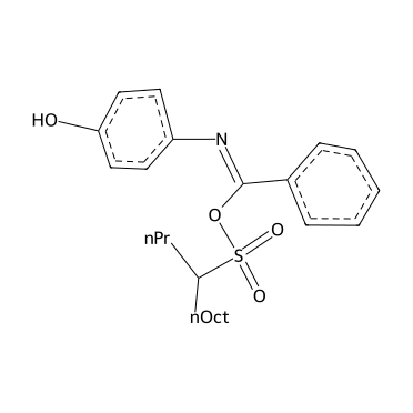 CCCCCCCCC(CCC)S(=O)(=O)OC(=Nc1ccc(O)cc1)c1ccccc1